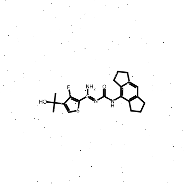 CC(C)(O)c1csc(/S(N)=N/C(=O)Nc2c3c(cc4c2CCC4)CCC3)c1F